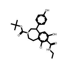 CCNC(=O)c1c(O)cc2c(c1Cl)CCN(C(=O)OC(C)(C)C)CC2c1ccc(O)cc1